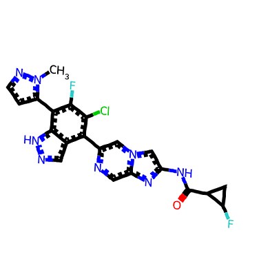 Cn1nccc1-c1c(F)c(Cl)c(-c2cn3cc(NC(=O)C4CC4F)nc3cn2)c2cn[nH]c12